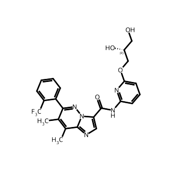 Cc1c(-c2ccccc2C(F)(F)F)nn2c(C(=O)Nc3cccc(OC[C@H](O)CO)n3)cnc2c1C